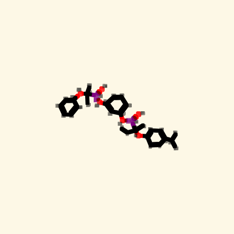 CCC(C)(Oc1ccc(C(C)C)cc1)[PH](=O)Oc1cccc(O[PH](=O)C(C)(C)Oc2ccccc2)c1